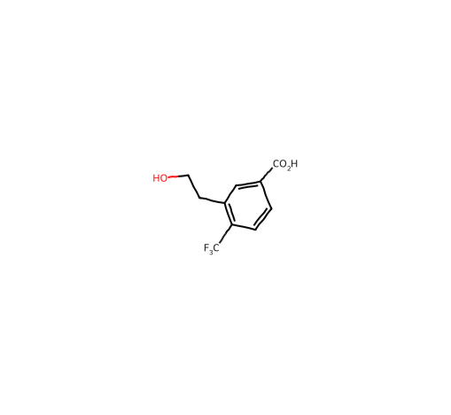 O=C(O)c1ccc(C(F)(F)F)c(CCO)c1